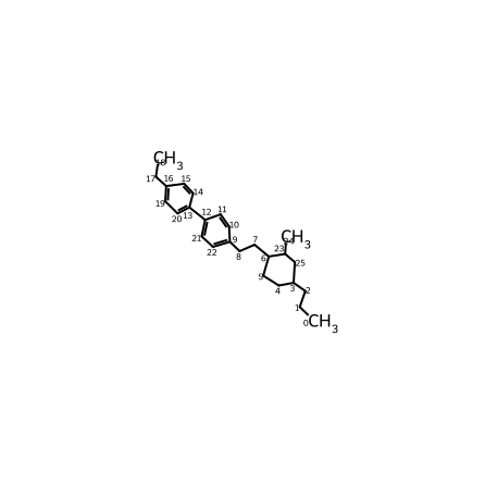 CCCC1CCC(CCc2ccc(-c3ccc(CC)cc3)cc2)C(C)C1